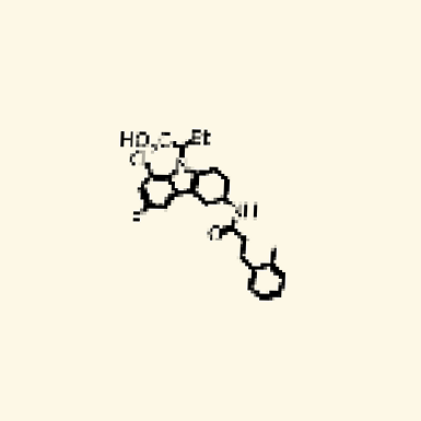 CCC(C(=O)O)n1c2c(c3cc(F)cc(Cl)c31)CC(NC(=O)CCc1ccccc1C)CC2